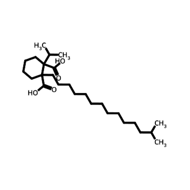 CC(C)CCCCCCCCCCCCC1(C(=O)O)CCCCC1(C(=O)O)C(C)C